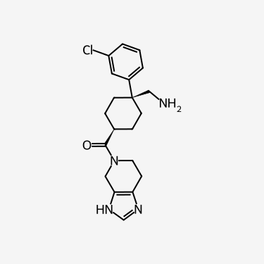 NC[C@]1(c2cccc(Cl)c2)CC[C@H](C(=O)N2CCc3nc[nH]c3C2)CC1